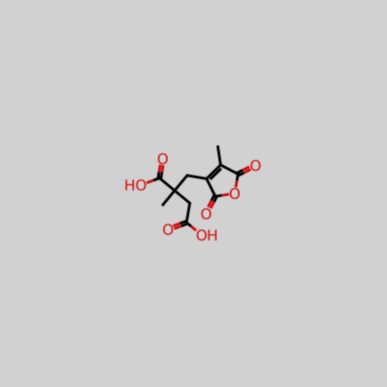 CC1=C(CC(C)(CC(=O)O)C(=O)O)C(=O)OC1=O